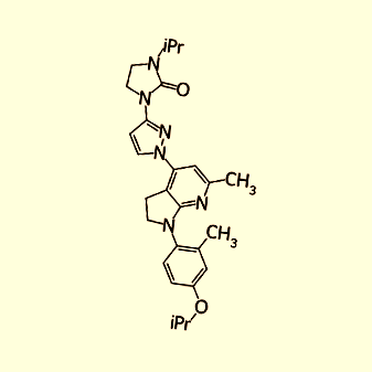 Cc1cc(-n2ccc(N3CCN(C(C)C)C3=O)n2)c2c(n1)N(c1ccc(OC(C)C)cc1C)CC2